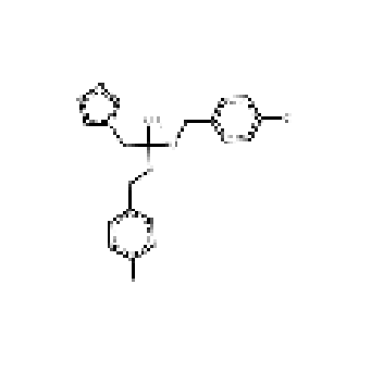 CC(CCc1ccc(F)cc1)(Cn1ccnc1)OCc1ccc(Cl)cc1